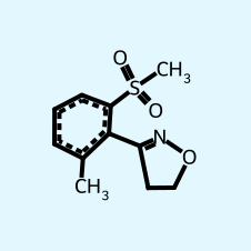 Cc1cccc(S(C)(=O)=O)c1C1=NOCC1